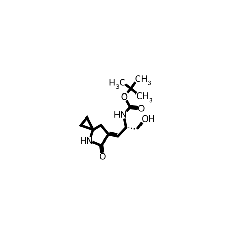 CC(C)(C)OC(=O)N[C@@H](/C=C1\CC2(CC2)NC1=O)CO